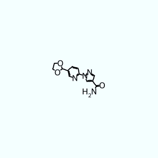 NC(=O)c1cnn(-c2ccc(C3OCCO3)cn2)c1